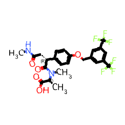 CNC(=O)C[C@@H](C(=O)N(C)[C@@H](C)C(=O)O)c1ccc(OCc2cc(C(F)(F)F)cc(C(F)(F)F)c2)cc1